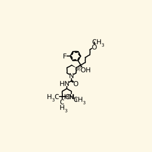 CNCC(CC(C)(C)C)NC(=O)N1CCC[C@@H]([C@@](O)(CCCCOC)c2cccc(F)c2)C1